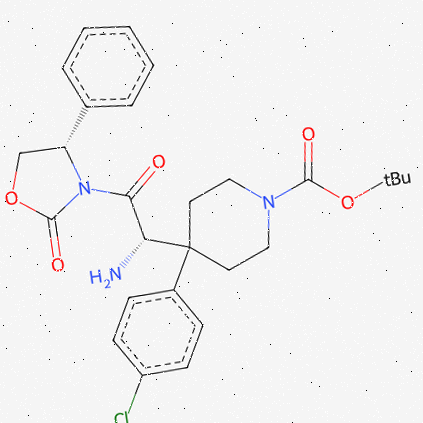 CC(C)(C)OC(=O)N1CCC(c2ccc(Cl)cc2)([C@H](N)C(=O)N2C(=O)OC[C@@H]2c2ccccc2)CC1